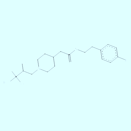 CC(C)(C)C(O)CN1CCC(CC(=O)NCCc2ccc(F)cc2)CC1